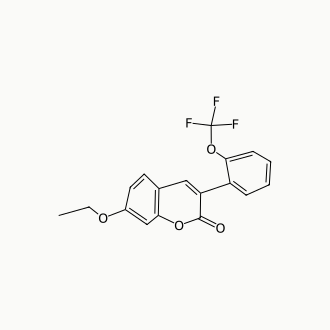 CCOc1ccc2cc(-c3ccccc3OC(F)(F)F)c(=O)oc2c1